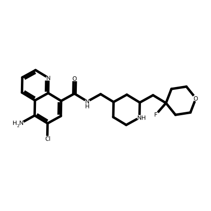 Nc1c(Cl)cc(C(=O)NCC2CCNC(CC3(F)CCOCC3)C2)c2ncccc12